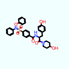 O=C(NC(Cc1ccc(O)cc1)C(=O)N1CCC(O)CC1)c1ccc(S(=O)(=O)N(Oc2ccccc2)c2ccccc2)cc1